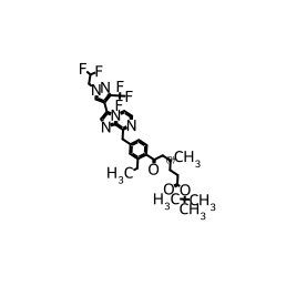 CCc1cc(Cc2nccn3c(-c4cn(CC(F)F)nc4C(F)(F)F)cnc23)ccc1C(=O)C[C@H](C)CCC(=O)OC(C)(C)C